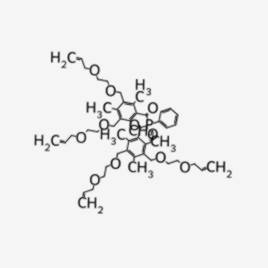 C=CCOCCOCc1c(C)c(COCCOCC=C)c(C)c(C(=O)P(=O)(C(=O)c2c(C)c(COCCOCC=C)c(C)c(COCCOCC=C)c2C)c2ccccc2)c1C